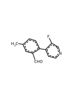 Cc1ccc(-c2ccncc2F)c(C=O)c1